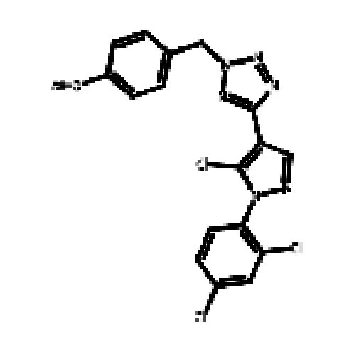 COc1ccc(Cn2nnc(-c3cnn(-c4ccc(Cl)cc4Cl)c3Cl)n2)cc1